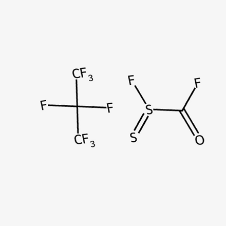 FC(F)(F)C(F)(F)C(F)(F)F.O=C(F)S(F)=S